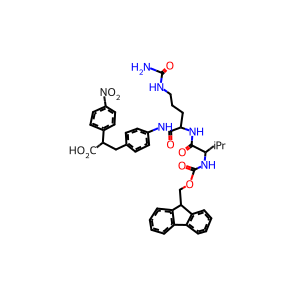 CC(C)C(NC(=O)OCC1c2ccccc2-c2ccccc21)C(=O)NC(CCCNC(N)=O)C(=O)Nc1ccc(CC(C(=O)O)c2ccc([N+](=O)[O-])cc2)cc1